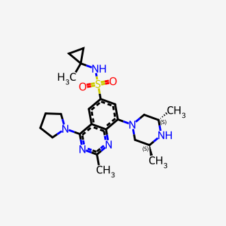 Cc1nc(N2CCCC2)c2cc(S(=O)(=O)NC3(C)CC3)cc(N3C[C@H](C)N[C@@H](C)C3)c2n1